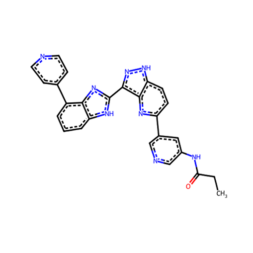 CCC(=O)Nc1cncc(-c2ccc3[nH]nc(-c4nc5c(-c6ccncc6)cccc5[nH]4)c3n2)c1